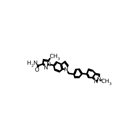 Cc1cc(C(N)=O)nn1-c1ccc2c(ccn2Cc2ccc(-c3ccc4cn(C)nc4c3)cc2)c1